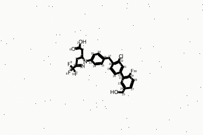 O=C(O)CC1CC(C(F)(F)F)=NN1c1ccc(Cc2ccc(-c3cc(CO)ccc3F)cc2Cl)cc1